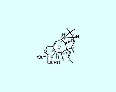 CC1=C[C@]23C(=O)[C@@H](C=C4CO[Si](C(C)(C)C)(C(C)(C)C)O[C@H]4[C@]2(O)[C@H]1O)[C@H]1[C@@H](C[C@H]3C)C1(C)C